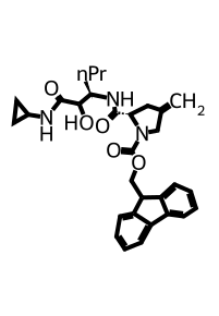 C=C1C[C@@H](C(=O)N[C@H](CCC)C(O)C(=O)NC2CC2)N(C(=O)OCC2c3ccccc3-c3ccccc32)C1